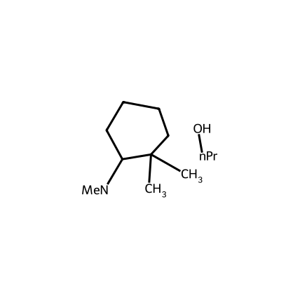 CCCO.CNC1CCCCC1(C)C